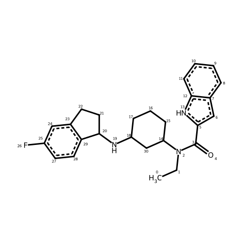 CCN(C(=O)c1cc2ccccc2[nH]1)C1CCCC(NC2CCc3cc(F)ccc32)C1